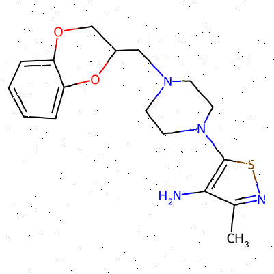 Cc1nsc(N2CCN(CC3COc4ccccc4O3)CC2)c1N